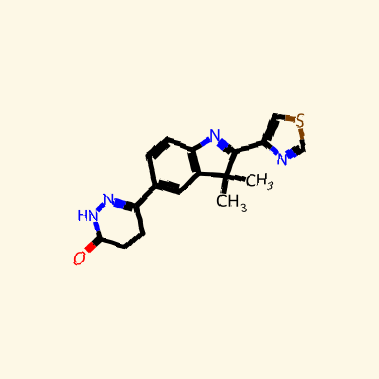 CC1(C)C(c2cscn2)=Nc2ccc(C3=NNC(=O)CC3)cc21